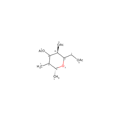 CC(=O)OCC1O[C@H](C)C(C)C(OC(C)=O)[C@H]1OC(C)=O